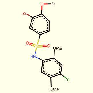 CCOc1ccc(S(=O)(=O)Nc2cc(OC)c(Cl)cc2OC)cc1Br